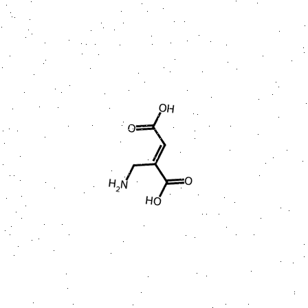 NC/C(=C\C(=O)O)C(=O)O